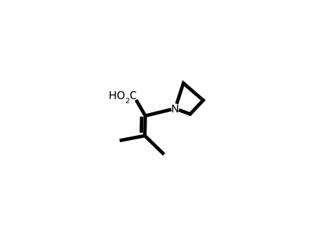 CC(C)=C(C(=O)O)N1CCC1